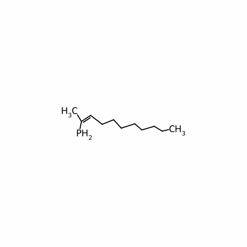 CCCCCCCCC=C(C)P